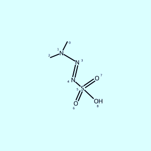 CN(C)/N=N/S(=O)(=O)O